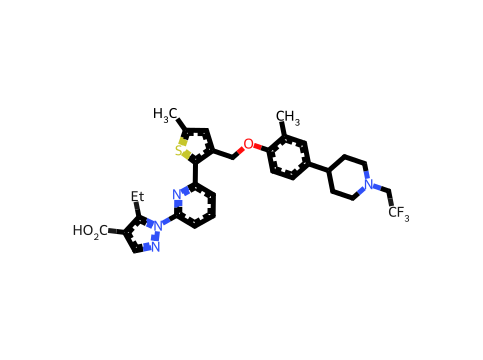 CCc1c(C(=O)O)cnn1-c1cccc(-c2sc(C)cc2COc2ccc(C3CCN(CC(F)(F)F)CC3)cc2C)n1